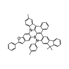 Cc1ccc(N2B3c4cc5cc(-c6ccccc6)oc5cc4-n4c5ccc(C)cc5c5c6ccccc6c(c3c54)-c3cc4c(cc32)C(C)(C)c2ccccc2-4)cc1